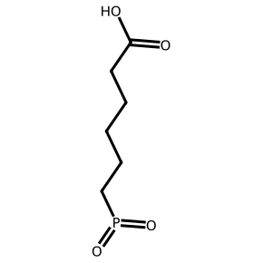 O=C(O)CCCCCP(=O)=O